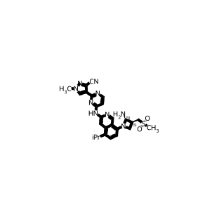 CC(C)c1ccc(N2C[C@H](CS(C)(=O)=O)[C@H]2N)c2cnc(Nc3ccnc(-c4cn(C)nc4C#N)n3)cc12